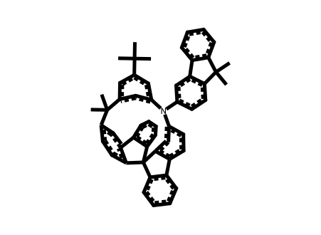 CC(C)(C)c1cc2cc(c1)C(C)(C)c1ccc3c(c1)-c1ccccc1C31c3ccccc3-c3ccc(cc31)N2c1ccc2c(c1)-c1ccccc1C2(C)C